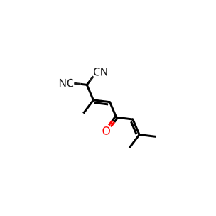 CC(C)=CC(=O)C=C(C)C(C#N)C#N